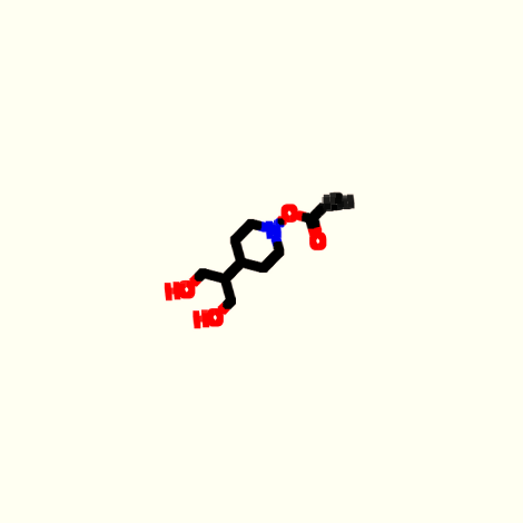 CC(C)(C)C(=O)ON1CCC(C(CO)CO)CC1